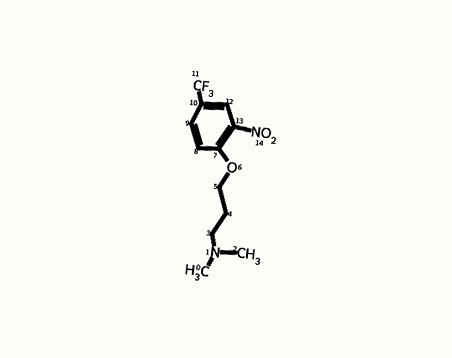 CN(C)CCCOc1ccc(C(F)(F)F)cc1[N+](=O)[O-]